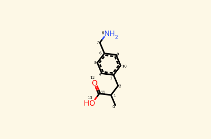 CC(Cc1ccc(CN)cc1)C(=O)O